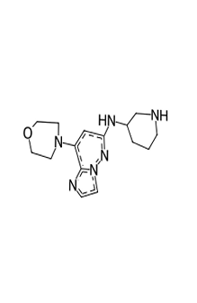 c1cn2nc(NC3CCCNC3)cc(N3CCOCC3)c2n1